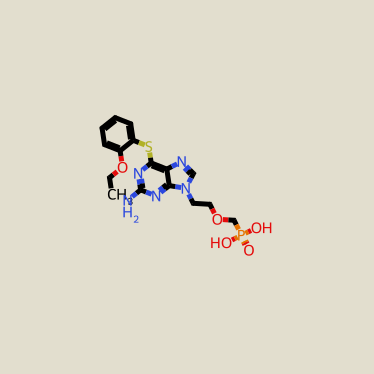 CCOc1ccccc1Sc1nc(N)nc2c1ncn2CCOCP(=O)(O)O